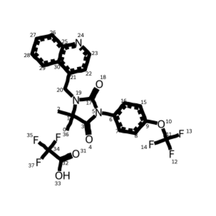 CC1(C)C(=O)N(c2ccc(OC(F)(F)F)cc2)C(=O)N1Cc1ccnc2ccccc12.O=C(O)C(F)(F)F